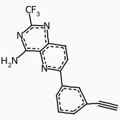 C#Cc1cccc(-c2ccc3nc(C(F)(F)F)nc(N)c3n2)c1